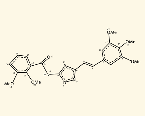 COc1cc(C=Cc2nnc(NC(=O)c3cccc(OC)c3OC)s2)cc(OC)c1OC